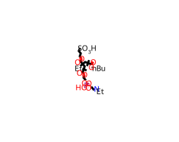 CCCCOC(=O)C(C)(C)CC(C)(CC(C)(CC)C(=O)OCCOP(=O)(O)OCCN(C)CC)C(=O)OCCCS(=O)(=O)O